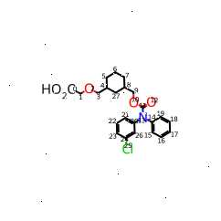 O=C(O)COCC1CCCC(COC(=O)N(c2ccccc2)c2cccc(Cl)c2)C1